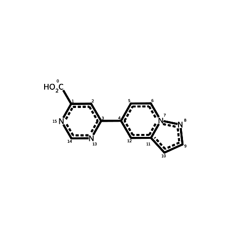 O=C(O)c1cc(-c2ccn3nccc3c2)ncn1